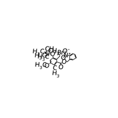 COc1cc(O[Si](C)(C)C(C)(C)C)c(CBr)c(C(=O)OCc2ccccc2[N+](=O)[O-])c1C